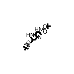 CC(C)(C)OC(=O)Nc1cnc2c(c1)NCC(CO[Si](C)(C)C(C)(C)C)C2